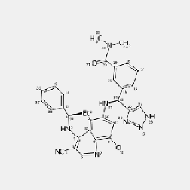 CC[C@@H](Nc1c(C#N)cnc2c(Cl)cc(N[C@@H](c3cccc(C(=O)N(C)C)c3)c3c[nH]nn3)cc12)c1ccccc1